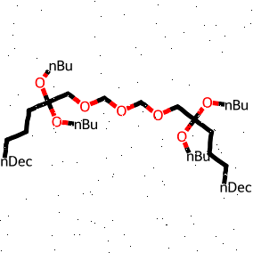 CCCCCCCCCCCCCC(COCOCOCC(CCCCCCCCCCCCC)(OCCCC)OCCCC)(OCCCC)OCCCC